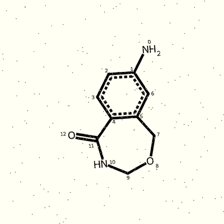 Nc1ccc2c(c1)COCNC2=O